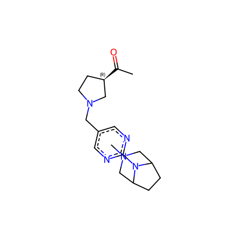 CC(=O)[C@@H]1CCN(Cc2cnc(N3C4CCC3CN(C)C4)nc2)C1